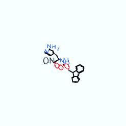 Nc1cc(CC(NC(=O)OCC2c3ccccc3-c3ccccc32)C(=O)N=O)ccn1